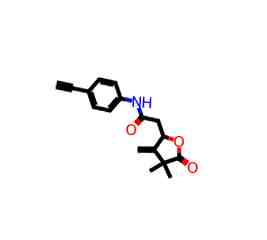 C#Cc1ccc(NC(=O)CC2OC(=O)C(C)(C)C2=C)cc1